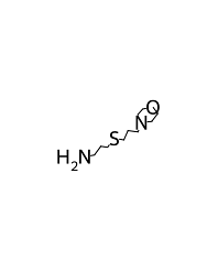 NCCCSCCCN1CCOCC1